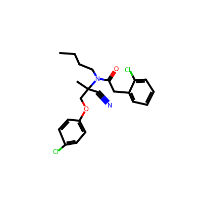 CCCCN(C(=O)Cc1ccccc1Cl)C(C)(C#N)COc1ccc(Cl)cc1